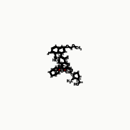 C#Cc1c(F)ccc2cc(OCOC)cc(-c3ncc4c(N5CC6CCC(C5)N6C(=O)OC(C)(C)C)nc(OC[C@@H]5CC[C@@H](CO)N5C)nc4c3F)c12